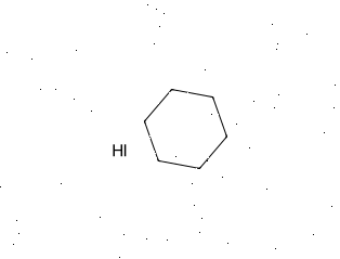 C1CCCCC1.I